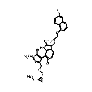 CCOC(=O)c1[nH]c2c(-c3c(COC[C@@H]4C[C@@H]4CO)nn(C)c3CC)c(Cl)ccc2c1CCCOc1cccc2cc(F)ccc12